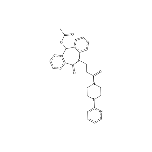 CC(=O)OC1c2ccccc2C(=O)N(CCC(=O)N2CCN(c3ccccn3)CC2)c2ccccc21